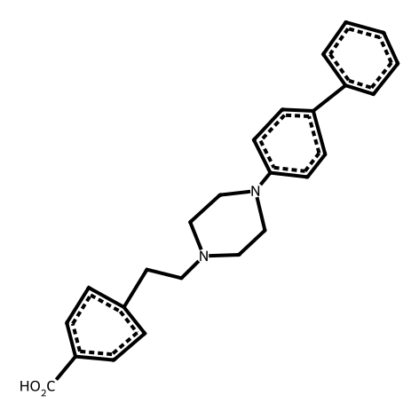 O=C(O)c1ccc(CCN2CCN(c3ccc(-c4ccccc4)cc3)CC2)cc1